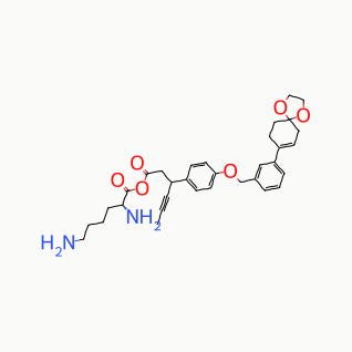 CC#CC(CC(=O)OC(=O)[C@@H](N)CCCCN)c1ccc(OCc2cccc(C3=CCC4(CC3)OCCO4)c2)cc1